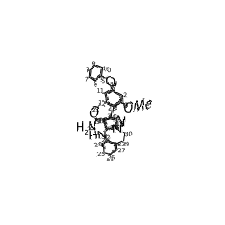 COc1cc(Oc2ccccc2)ccc1-c1nn2c(c1C(N)=O)Nc1ccccc1CC2